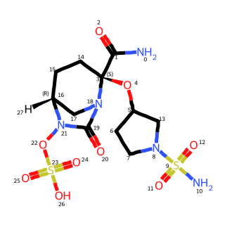 NC(=O)[C@@]1(OC2CCN(S(N)(=O)=O)C2)CC[C@@H]2CN1C(=O)N2OS(=O)(=O)O